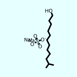 CC(C)CCCCCCCCCCO.O=S(=O)([O-])[O-].[Na+].[Na+]